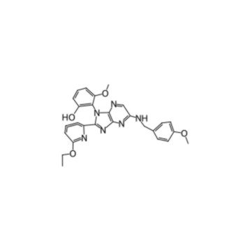 CCOC1=NC(c2nc3nc(NCc4ccc(OC)cc4)cnc3n2-c2c(O)cccc2OC)=C=C=C1